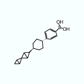 OB(O)c1ccc([C@H]2CC[C@H](C3C4C3C43C4CC43)CC2)cc1